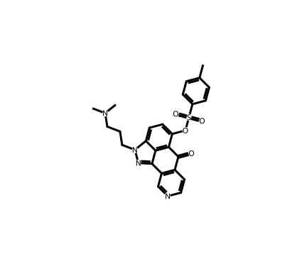 Cc1ccc(S(=O)(=O)Oc2ccc3c4c(nn3CCCN(C)C)-c3cnccc3C(=O)c24)cc1